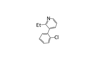 CCc1ncccc1-c1ccccc1Cl